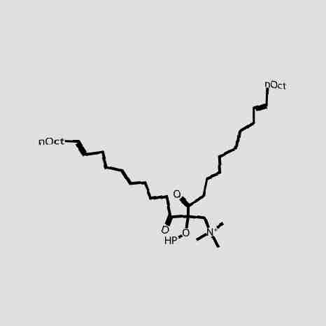 CCCCCCCCC=CCCCCCCCC(=O)C(C[N+](C)(C)C)(O[PH-])C(=O)CCCCCCCC=CCCCCCCCC